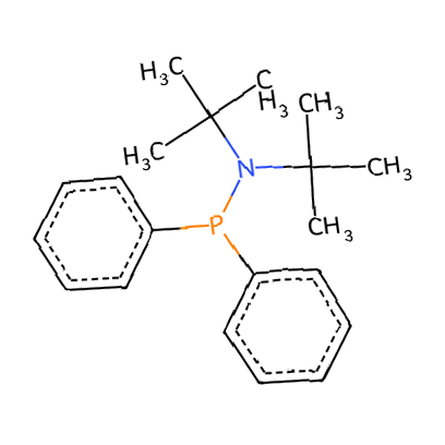 CC(C)(C)N(P(c1ccccc1)c1ccccc1)C(C)(C)C